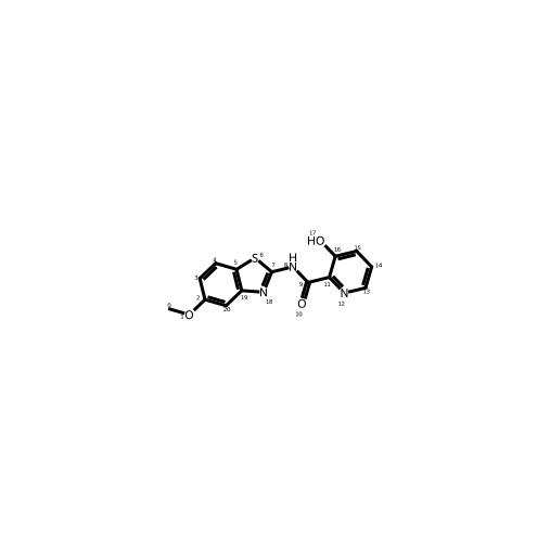 COc1ccc2sc(NC(=O)c3ncccc3O)nc2c1